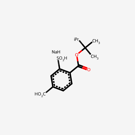 CC(C)C(C)(C)OC(=O)c1ccc(C(=O)O)cc1S(=O)(=O)O.[NaH]